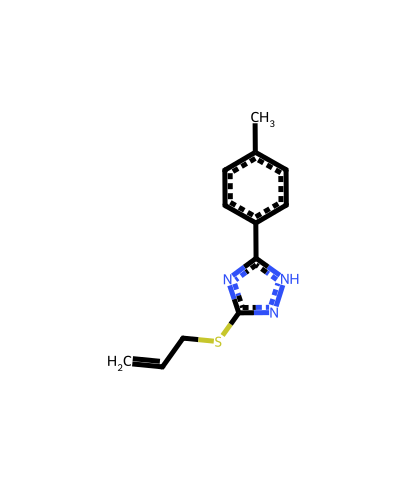 C=CCSc1n[nH]c(-c2ccc(C)cc2)n1